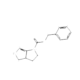 O=C(OCc1ccccc1)N1CCC2CNC=C21